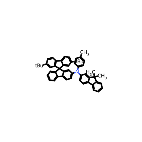 Cc1ccc(N(c2ccc3c(c2)C(C)(C)c2ccccc2-3)c2ccc3c(c2)C2(c4ccccc4-3)c3cc(C(C)(C)C)ccc3-c3ccc(C(C)(C)C)cc32)cc1